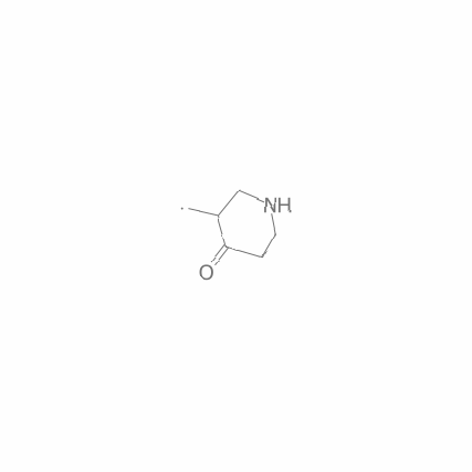 [CH2]C1CNCCC1=O